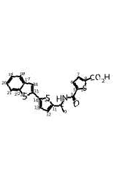 CC(NC(=O)c1ccc(C(=O)O)s1)c1ccc(-c2cc3ccccc3s2)s1